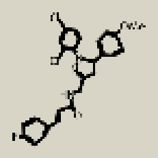 COc1ccc(C2CC(CNC(=O)/C=C/c3ccc(F)cc3)=NN2c2ccc(Cl)cc2Cl)cc1